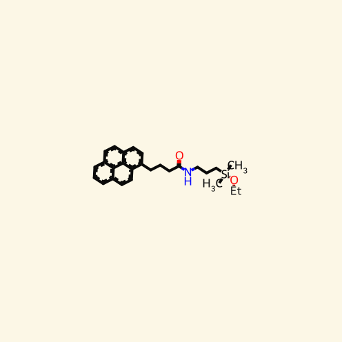 CCO[Si](C)(C)CCCNC(=O)CCCc1ccc2ccc3cccc4ccc1c2c34